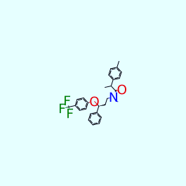 Cc1ccc(C(C)C(=O)N(C)CC[C@H](Oc2ccc(C(F)(F)F)cc2)c2ccccc2)cc1